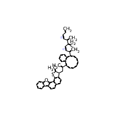 C=C/C=C\C(=C)C(=C)/C=C\C(=C)c1ccccccc(C(=C)CC2C(=C)Sc3c2ccc2ccc4c5ccccc5oc4c32)c2ccccc12